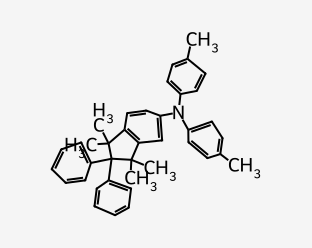 Cc1ccc(N(c2ccc(C)cc2)c2ccc3c(c2)C(C)(C)C(c2ccccc2)(c2ccccc2)C3(C)C)cc1